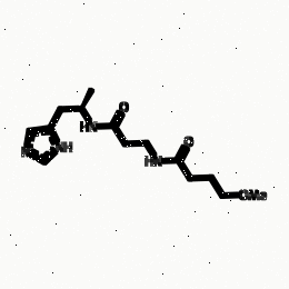 COCCCC(=O)NCCC(=O)N[C@H](C)Cc1cnc[nH]1